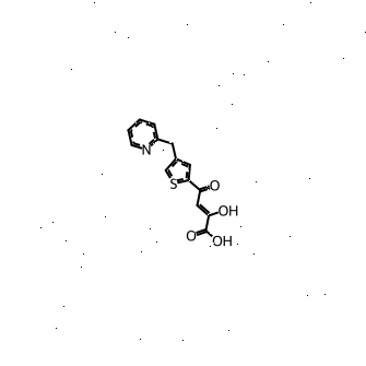 O=C(O)C(O)=CC(=O)c1cc(Cc2ccccn2)cs1